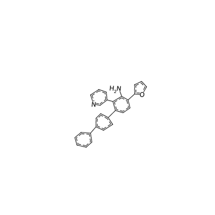 Nc1c(-c2ccco2)ccc(-c2ccc(-c3ccccc3)cc2)c1-c1cccnc1